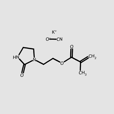 C=C(C)C(=O)OCCN1CCNC1=O.N#C[O-].[K+]